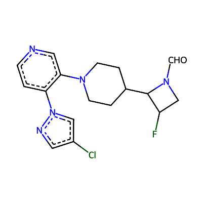 O=CN1CC(F)C1C1CCN(c2cnccc2-n2cc(Cl)cn2)CC1